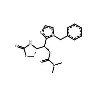 CN(C)C(=S)O[C@H](c1nccn1Cc1ccccc1)[C@@H]1COC(=O)N1